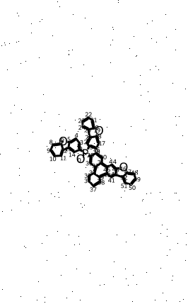 O=P(c1ccc2oc3ccccc3c2c1)(c1ccc2oc3ccccc3c2c1)c1ccc2c(c1)c1ccccc1c1cc3c(cc21)oc1ccccc13